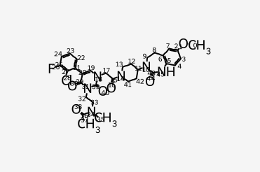 COc1ccc2c(c1)CCN(C1CCN(C(=O)Cn3cc(-c4cccc(F)c4Cl)c(=O)n(CCN(C)C(C)=O)c3=O)CC1)C(=O)N2